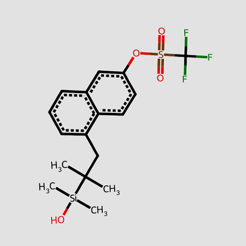 CC(C)(Cc1cccc2cc(OS(=O)(=O)C(F)(F)F)ccc12)[Si](C)(C)O